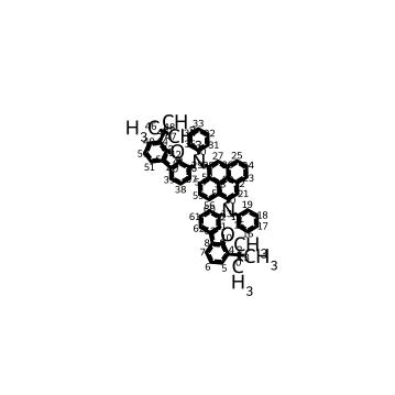 CC(C)(C)c1cccc2c1oc1c(N(c3ccccc3)c3cc4cccc5cc(N(c6ccccc6)c6cccc7c6oc6c(C(C)(C)C)cccc67)c6cccc3c6c45)cccc12